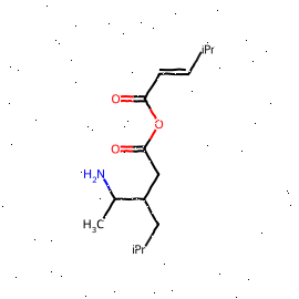 CC(C)C=CC(=O)OC(=O)CC(CC(C)C)C(C)N